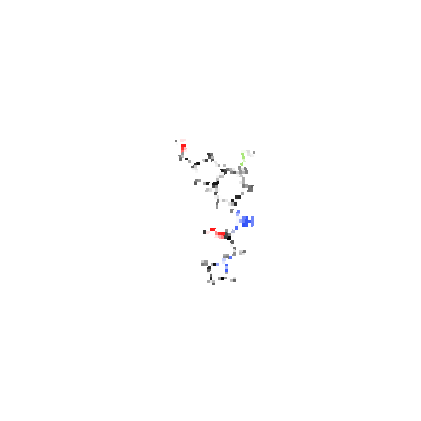 O=CC1Cc2cc(NC(=O)CN3CCC3)cc(F)c2C1